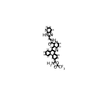 NC(OC(=O)C(F)(F)F)c1ccc(-c2nc3ccnc(C(=O)NCc4nc5cccnc5[nH]4)c3cc2-c2ccccc2)cc1